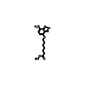 CC(C)(C)OC(=O)CCCCCCOc1ccc([N+](=O)[O-])c2n[se]nc12